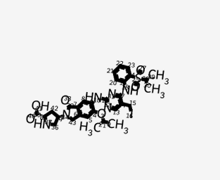 CC(C)Oc1cc2c(cc1Nc1ncc(CI)c(Nc3ccccc3S(=O)(=O)C(C)C)n1)C(=O)N([C@H]1CN[C@H](C(=O)O)C1)C2